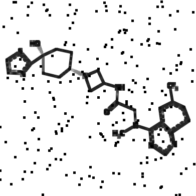 CN(CC(=O)NC1CN([C@H]2CC[C@](O)(c3nccs3)CC2)C1)c1ncnc2ccc(C(F)(F)F)cc12